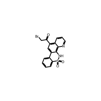 O=C(CBr)c1cc2c(c3ncccc13)NS(=O)(=O)c1ccccc1-2